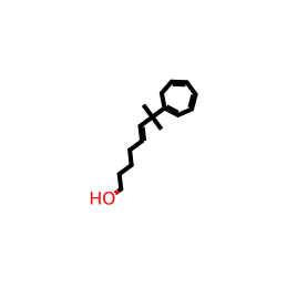 CC(C)(C=CCCCCO)C1=CC=CC=CC1